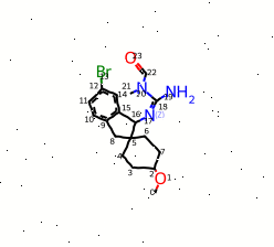 COC1CCC2(CC1)Cc1ccc(Br)cc1C2/N=C(/N)N(C)C=O